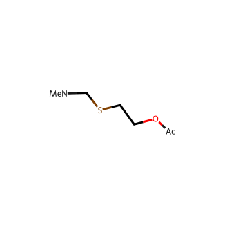 CNCSCCOC(C)=O